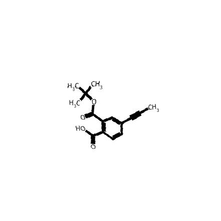 CC#Cc1ccc(C(=O)O)c(C(=O)OC(C)(C)C)c1